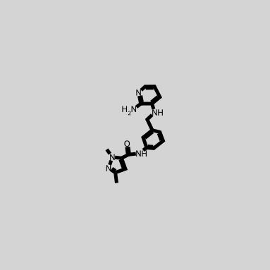 Cc1cc(C(=O)Nc2cccc(CNc3cccnc3N)c2)n(C)n1